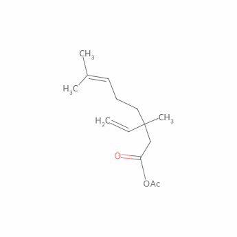 C=CC(C)(CCC=C(C)C)CC(=O)OC(C)=O